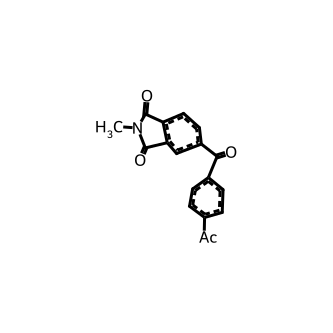 CC(=O)c1ccc(C(=O)c2ccc3c(c2)C(=O)N(C)C3=O)cc1